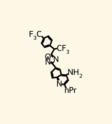 CCCc1cc(N)c2cc(-c3noc(C(c4ccc(C(F)(F)F)cc4)C(F)(F)F)n3)ccc2n1